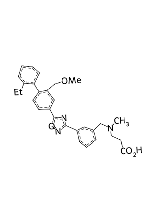 CCc1ccccc1-c1ccc(-c2nc(-c3cccc(CN(C)CCC(=O)O)c3)no2)cc1COC